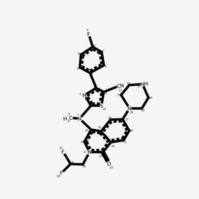 CN(c1nc(-c2ccc(F)cc2)c(C#N)s1)c1cn(CC(F)F)c(=O)c2ccc(N3CCNCC3)cc12